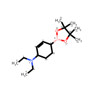 CCN(CC)C1C=CC(B2OC(C)(C)C(C)(C)O2)CC1